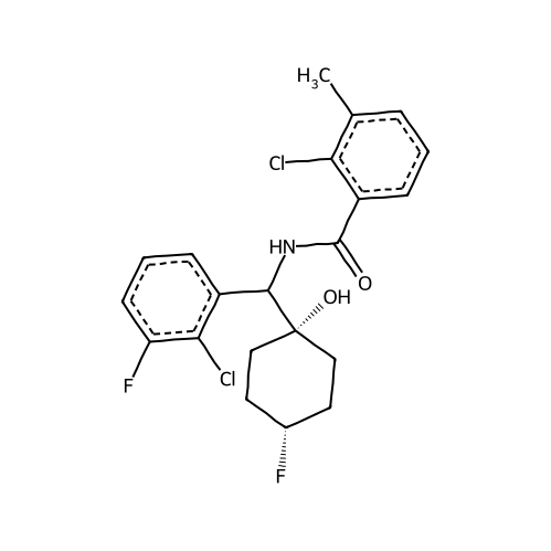 Cc1cccc(C(=O)NC(c2cccc(F)c2Cl)[C@]2(O)CC[C@@H](F)CC2)c1Cl